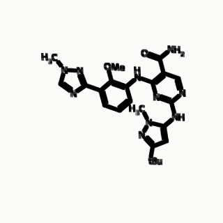 COc1c(Nc2nc(Nc3cc(C(C)(C)C)nn3C)ncc2C(N)=O)cccc1-c1ncn(C)n1